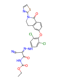 CCOC(=O)NC(=O)C(C#N)=NNc1cc(Cl)c(Oc2ccc3c(c2)CCN(c2nccs2)C3=O)c(Cl)c1